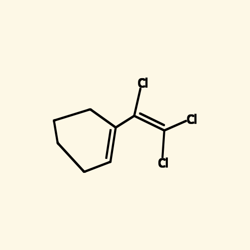 ClC(Cl)=C(Cl)C1=CCCCC1